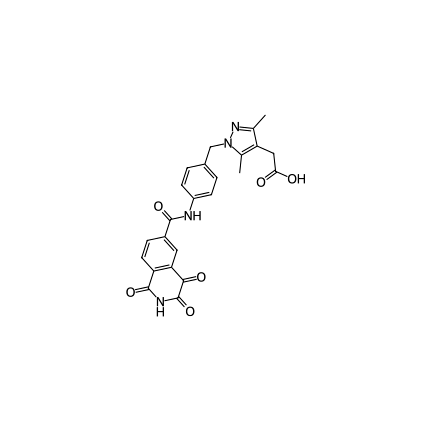 Cc1nn(Cc2ccc(NC(=O)c3ccc4c(c3)C(=O)C(=O)NC4=O)cc2)c(C)c1CC(=O)O